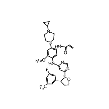 C=CC(=O)Nc1cc(Nc2cc(N3OCC[C@@H]3c3cc(F)cc(C(F)(F)F)c3)ncn2)c(OC)cc1N1CCN(C2CC2)CC1